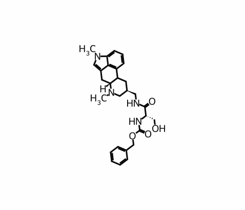 CN1C[C@H](CNC(=O)[C@H](CO)NC(=O)OCc2ccccc2)CC2c3cccc4c3c(cn4C)C[C@H]21